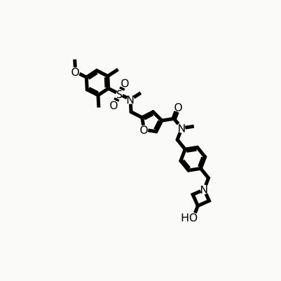 COc1cc(C)c(S(=O)(=O)N(C)Cc2cc(C(=O)N(C)Cc3ccc(CN4CC(O)C4)cc3)co2)c(C)c1